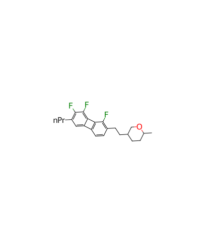 CCCc1cc2c(c(F)c1F)-c1c-2ccc(CCC2CCC(C)OC2)c1F